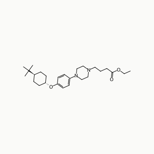 CCOC(=O)CCCN1CCN(c2ccc(O[C@H]3CC[C@H](C(C)(C)C)CC3)cc2)CC1